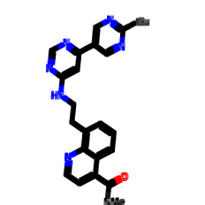 CNC(=O)c1ccnc2c(CCNc3cc(-c4cnc(C(C)(C)C)nc4)ncn3)cccc12